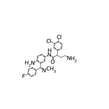 C/N=C(/c1ccc(F)cc1)c1cc(NC(=O)C(CCN)c2ccc(Cl)c(Cl)c2)ccc1N